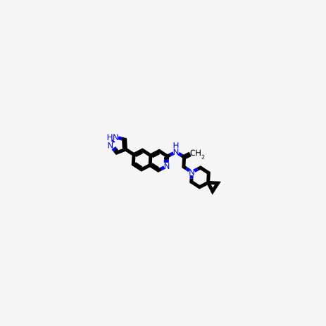 C=C(CN1CCC2(CC1)CC2)Nc1cc2cc(-c3cn[nH]c3)ccc2cn1